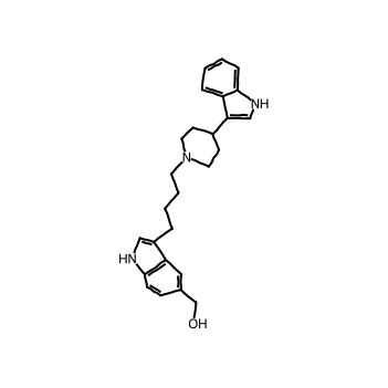 OCc1ccc2[nH]cc(CCCCN3CCC(c4c[nH]c5ccccc45)CC3)c2c1